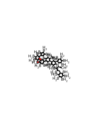 BC1=C(B)C(c2c(B)c(B)c(B)c(B)c2B)C(n2c3c(B)c(B)c(B)c(B)c3c3c(B)c(-c4c(B)c(B)c5c(c4B)c4c(B)c(B)c(B)c(B)c4n5C(C#C)/C(B)=C(/B)Cc4c(B)c(B)c(B)c(B)c4B)c(B)c(B)c32)=C1B